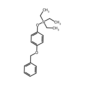 CC[Si](CC)(CC)Oc1ccc(OCc2ccccc2)cc1